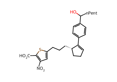 CCCCCC(O)c1ccc(C2=CCC[C@@H]2CCCc2cc([N+](=O)[O-])c(C(=O)O)s2)cc1